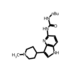 CCCCNC(=O)Nc1ccc2[nH]cc(C3CCN(C)CC3)c2n1